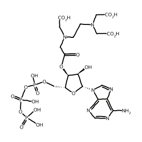 Nc1ncnc2c1ncn2[C@@H]1O[C@H](COP(=O)(O)OP(=O)(O)OP(=O)(O)O)[C@@H](OC(=O)CN(CCN(CC(=O)O)CC(=O)O)CC(=O)O)[C@H]1O